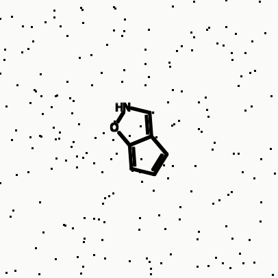 [c]1[nH]oc2cccc1-2